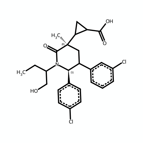 CCC(CO)N1C(=O)[C@@](C)(C2CC2C(=O)O)CC(c2cccc(Cl)c2)[C@H]1c1ccc(Cl)cc1